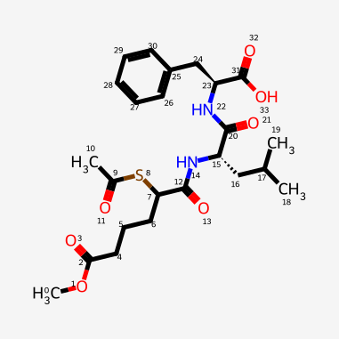 COC(=O)CCCC(SC(C)=O)C(=O)N[C@@H](CC(C)C)C(=O)N[C@@H](Cc1ccccc1)C(=O)O